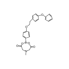 CN1CC(=O)OB(c2ccc(OCCc3ccc(Oc4ccccc4)cc3)cc2)OC(=O)C1